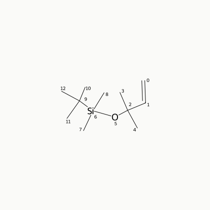 C=CC(C)(C)O[Si](C)(C)C(C)(C)C